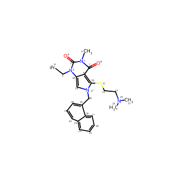 CC(C)Cn1c(=O)n(C)c(=O)c2c(SCCN(C)C)n(Cc3cccc4ccccc34)cc21